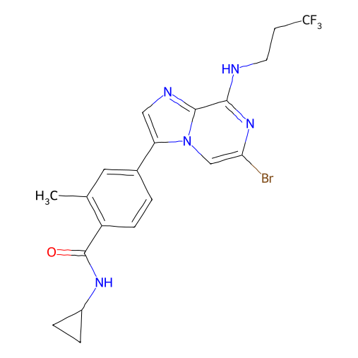 Cc1cc(-c2cnc3c(NCCC(F)(F)F)nc(Br)cn23)ccc1C(=O)NC1CC1